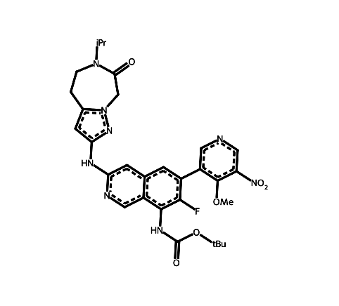 COc1c(-c2cc3cc(Nc4cc5n(n4)CC(=O)N(C(C)C)CC5)ncc3c(NC(=O)OC(C)(C)C)c2F)cncc1[N+](=O)[O-]